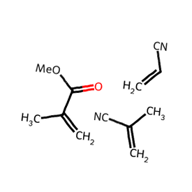 C=C(C)C#N.C=C(C)C(=O)OC.C=CC#N